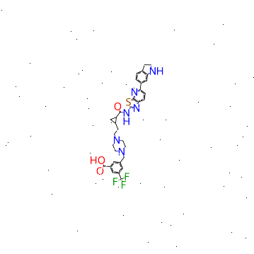 O=C(O)c1cc(CN2CCN(CCC3CC3C(=O)Nc3nc4ccc(-c5ccc6c(c5)NCC6)nc4s3)CC2)cc(C(F)(F)F)c1